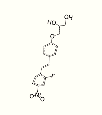 O=[N+]([O-])c1ccc(C=Cc2ccc(OCC(O)CO)cc2)c(F)c1